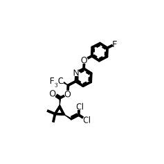 CC1(C)[C@H](C=C(Cl)Cl)[C@@H]1C(=O)O[C@H](c1cccc(Oc2ccc(F)cc2)n1)C(F)(F)F